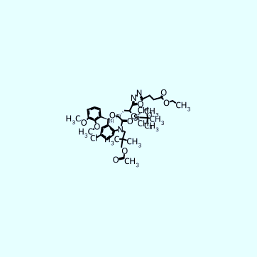 CCOC(=O)CCc1nnc(C(C[C@H]2O[C@H](c3cccc(OC)c3OC)c3cc(Cl)ccc3N(CC(C)(C)COC(C)=O)C2=O)O[Si](C)(C)C(C)(C)C)o1